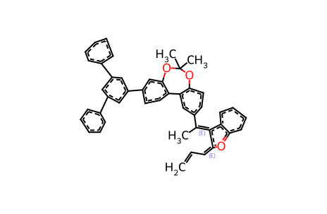 C=C/C=c1/oc2ccccc2/c1=C(/C)c1ccc2c(c1)-c1ccc(-c3cc(-c4ccccc4)cc(-c4ccccc4)c3)cc1OC(C)(C)O2